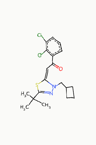 CC(C)(C)C1=NN(CC2CCC2)C(=CC(=O)c2cccc(Cl)c2Cl)S1